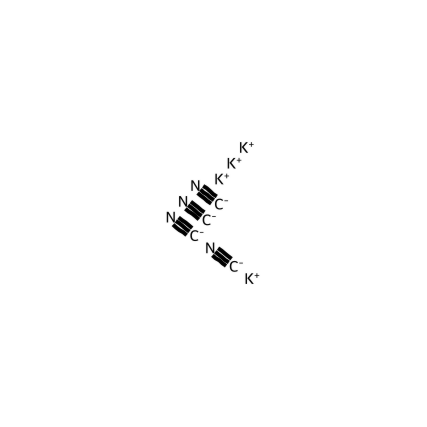 [C-]#N.[C-]#N.[C-]#N.[C-]#N.[K+].[K+].[K+].[K+]